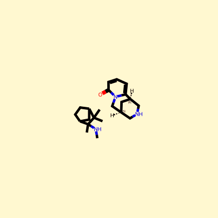 CNC1(C)C2CCC(C2)C1(C)C.O=c1cccc2n1C[C@@H]1CNC[C@H]2C1